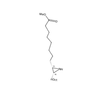 CCCCCCCC[C@H]1N[C@H]1CCCCCCCC(=O)OC